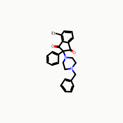 CCc1cccc2c1C(=O)C(c1ccccc1)(N1CCN(Cc3ccccc3)CC1)C2=O